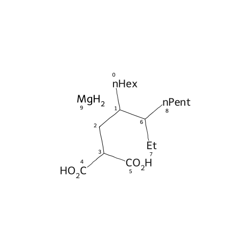 CCCCCCC(CC(C(=O)O)C(=O)O)C(CC)CCCCC.[MgH2]